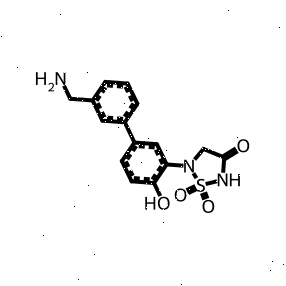 NCc1cccc(-c2ccc(O)c(N3CC(=O)NS3(=O)=O)c2)c1